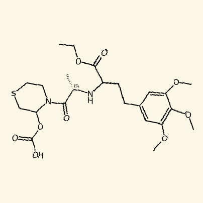 CCOC(=O)C(CCc1cc(OC)c(OC)c(OC)c1)N[C@@H](C)C(=O)N1CCSCC1OC(=O)O